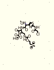 CO/N=C(\C(=O)NC1C(=O)N(S(=O)(=O)O)C1CNC(=O)OCCS(C)(=O)=O)c1csc(NC(=O)CCl)n1